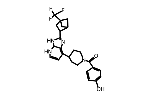 O=C(c1ccc(O)cc1)N1CCC(C2=C3N=C(C4CC5(C(F)(F)F)CC4C5)NC3NC=C2)CC1